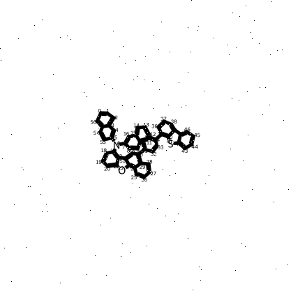 c1ccc2cc(N(c3ccc4ccccc4c3)c3cccc4oc5c6ccccc6c(-c6ccc(-c7cccc8c7sc7ccccc78)cc6)cc5c34)ccc2c1